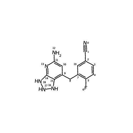 N#Cc1ccc(F)c(Cc2cc(N)nc3c2NNN3)c1